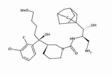 COCCCC[C@@](O)(c1cccc(Cl)c1F)[C@@H]1CCCN(C(=O)N[C@H](CN)[C@@H](O)C23CC4CC(CC2C4)C3)C1